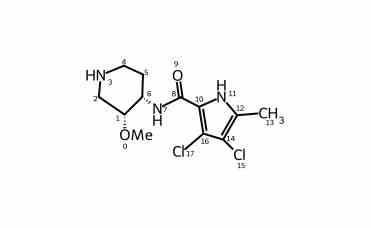 CO[C@@H]1CNCC[C@@H]1NC(=O)c1[nH]c(C)c(Cl)c1Cl